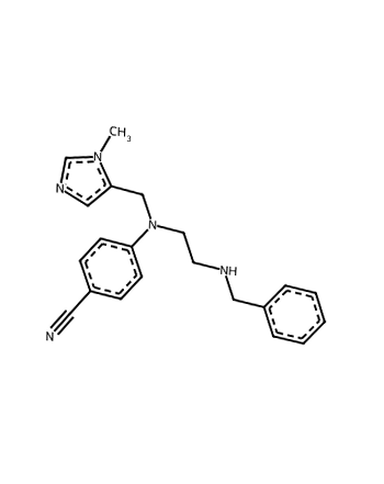 Cn1cncc1CN(CCNCc1ccccc1)c1ccc(C#N)cc1